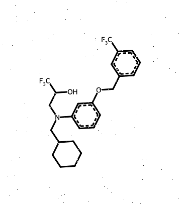 OC(CN(CC1CCCCC1)c1cccc(OCc2cccc(C(F)(F)F)c2)c1)C(F)(F)F